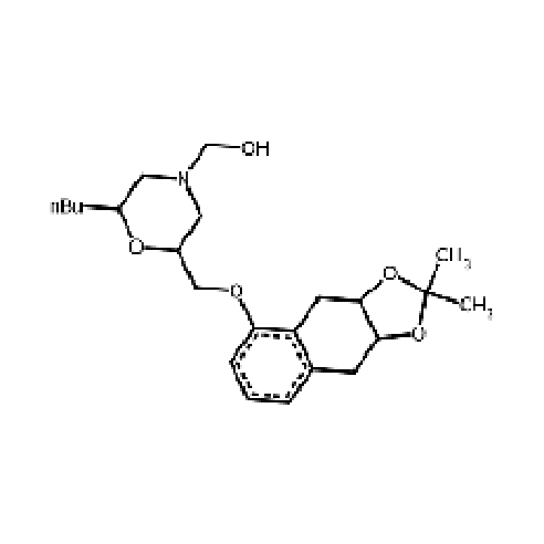 CCCCC1CN(CO)CC(COc2cccc3c2CC2OC(C)(C)OC2C3)O1